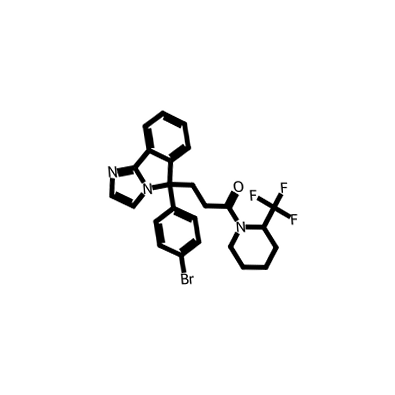 O=C(CCC1(c2ccc(Br)cc2)c2ccccc2-c2nccn21)N1CCCCC1C(F)(F)F